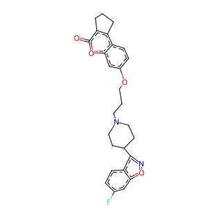 O=c1oc2cc(OCCCN3CCC(c4noc5cc(F)ccc45)CC3)ccc2c2c1CCC2